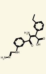 CCc1cccc(C(C(=O)O)=C(N)C(=O)c2cccc(NC=NN)c2)c1